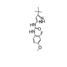 COc1ccc(NC(=O)Nc2cc(C(C)(C)C)n[nH]2)c(F)c1